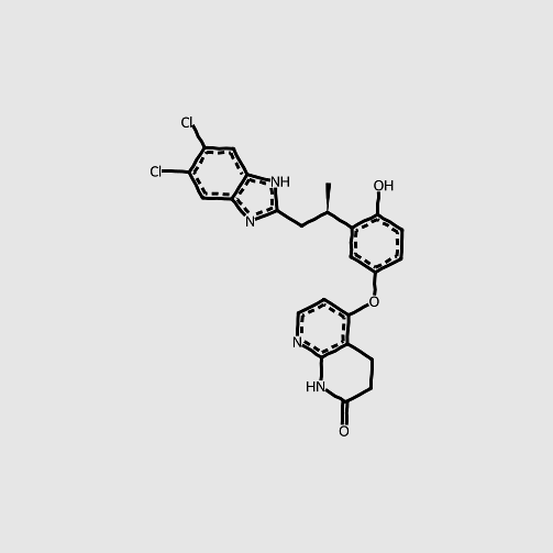 C[C@H](Cc1nc2cc(Cl)c(Cl)cc2[nH]1)c1cc(Oc2ccnc3c2CCC(=O)N3)ccc1O